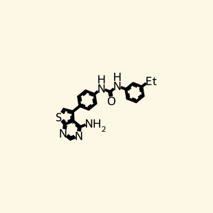 CCc1cccc(NC(=O)Nc2ccc(-c3csc4ncnc(N)c34)cc2)c1